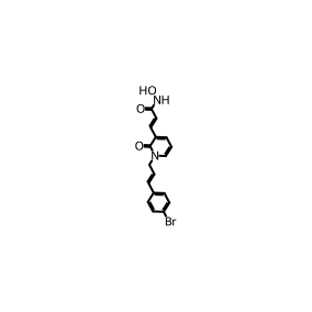 O=C(/C=C/c1cccn(C/C=C/c2ccc(Br)cc2)c1=O)NO